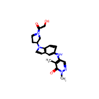 Cc1c(Nc2ccc3c(ccn3C3CCN(C(=O)CO)C3)c2)cnn(C)c1=O